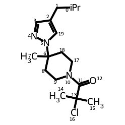 CC(C)Cc1cnn(C2(C)CCN(C(=O)C(C)(C)Cl)CC2)c1